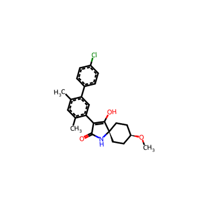 CO[C@H]1CC[C@@]2(CC1)NC(=O)C(c1cc(-c3ccc(Cl)cc3)c(C)cc1C)=C2O